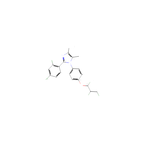 CCOC(=O)c1nc(-c2ccc(Cl)cc2Cl)n(-c2ccc(OC(F)C(F)CF)cc2)c1C